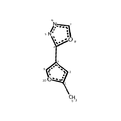 Cc1cc(-c2nnco2)co1